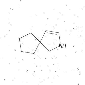 C1=CC2(CCCC2)CN1